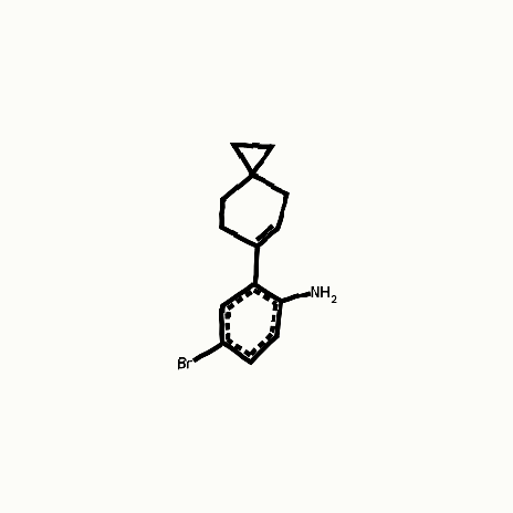 Nc1ccc(Br)cc1C1=CCC2(CC1)CC2